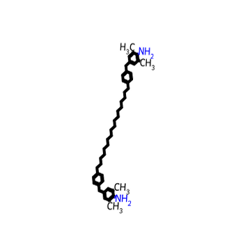 Cc1cc(Cc2ccc(CCCCCCCCCCCCCCCCCCc3ccc(Cc4cc(C)c(N)c(C)c4)cc3)cc2)cc(C)c1N